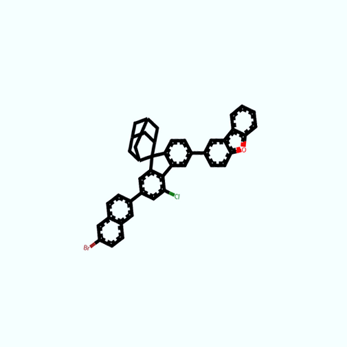 Clc1cc(-c2ccc3cc(Br)ccc3c2)cc2c1-c1cc(-c3ccc4oc5ccccc5c4c3)ccc1C21C2CC3CC(C2)CC1C3